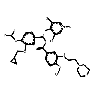 CSc1ccc(C(=O)O[C@@H](Cc2c(Cl)c[n+]([O-])cc2Cl)c2ccc(OC(F)F)c(OCC3CC3)c2)cc1NCCN1CCOCC1